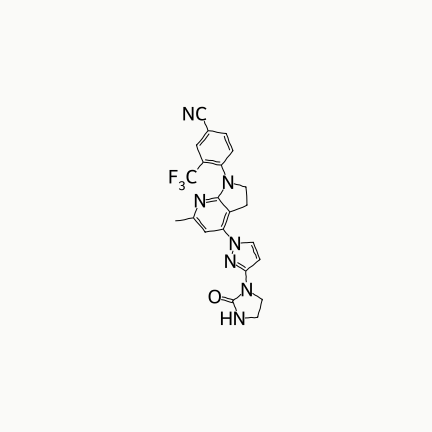 Cc1cc(-n2ccc(N3CCNC3=O)n2)c2c(n1)N(c1ccc(C#N)cc1C(F)(F)F)CC2